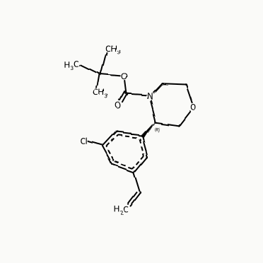 C=Cc1cc(Cl)cc([C@@H]2COCCN2C(=O)OC(C)(C)C)c1